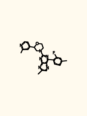 Cc1ccc(-c2nc(N3CCOC(c4ccnc(C)c4)C3)nc3nc(C)cnc23)c(F)c1